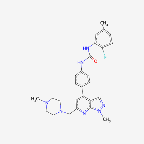 Cc1ccc(F)c(NC(=O)Nc2ccc(-c3cc(CN4CCN(C)CC4)nc4c3cnn4C)cc2)c1